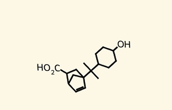 CC(C)(C1CCC(O)CC1)C12C=CC(C1)C(C(=O)O)C2